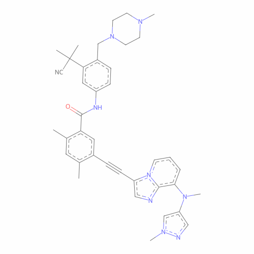 Cc1cc(C)c(C(=O)Nc2ccc(CN3CCN(C)CC3)c(C(C)(C)C#N)c2)cc1C#Cc1cnc2c(N(C)c3cnn(C)c3)cccn12